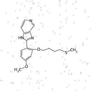 COc1ccc(-c2nc3cnccc3[nH]2)c(OCCCCSC)c1